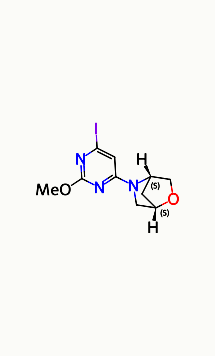 COc1nc(I)cc(N2C[C@@H]3C[C@H]2CO3)n1